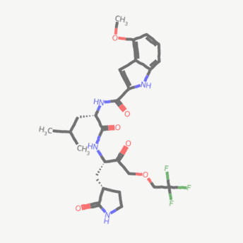 COc1cccc2[nH]c(C(=O)N[C@@H](CC(C)C)C(=O)N[C@@H](C[C@@H]3CCNC3=O)C(=O)COCC(F)(F)F)cc12